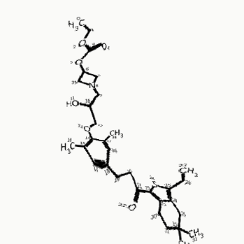 CCOC(=O)OC1CN(CC(O)COc2c(C)cc(CCC(=O)c3sc(CC)c4c3CCC(C)(C)C4)cc2C)C1